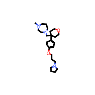 CN1CCCN(CC2(c3ccc(OCCCN4CCCC4)cc3)CCOCC2)CC1